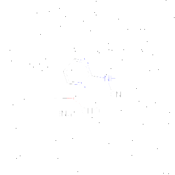 CCOC=O.N#CNc1ncccn1.[NaH]